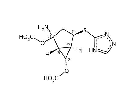 N[C@]1(OC(=O)O)C[C@@H](Sc2nnc[nH]2)[C@H]2[C@H](OC(=O)O)[C@@H]21